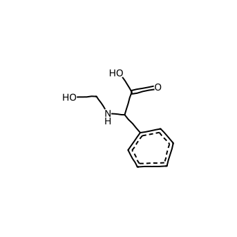 O=C(O)C(NCO)c1ccccc1